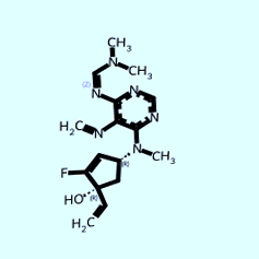 C=C[C@]1(O)C[C@@H](N(C)c2ncnc(/N=C\N(C)C)c2N=C)C=C1F